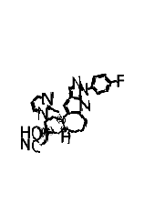 N#CC[C@@]1(O)CC[C@@]2(Cc3ncccn3)c3cc4cnn(-c5ccc(F)cc5)c4nc3CCC[C@H]2C1